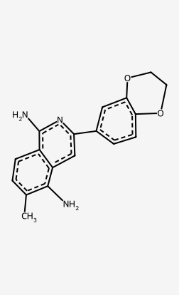 Cc1ccc2c(N)nc(-c3ccc4c(c3)OCCO4)cc2c1N